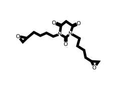 O=C1CC(=O)N(CCCCC2CO2)C(=O)N1CCCCC1CO1